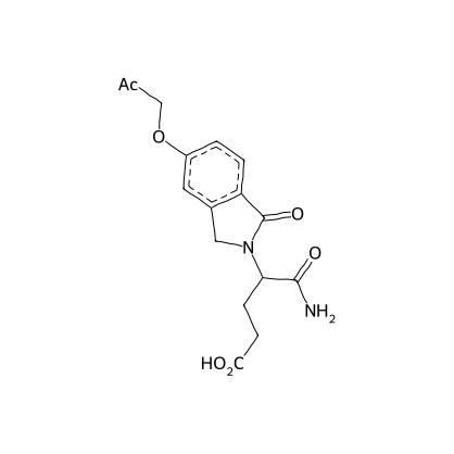 CC(=O)COc1ccc2c(c1)CN(C(CCC(=O)O)C(N)=O)C2=O